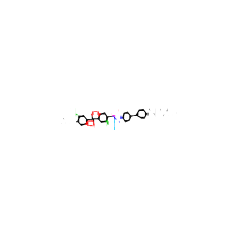 CNc1ccc(-c2ccc(NC(=O)c3cc4c(cc3Cl)C3(COc5cc(C(C)=O)c(Cl)cc53)CO4)cc2)cc1